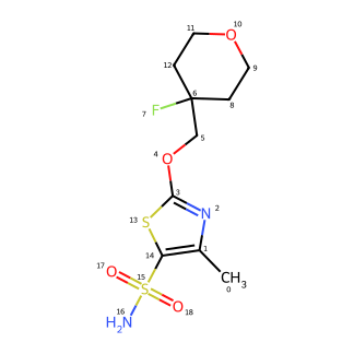 Cc1nc(OCC2(F)CCOCC2)sc1S(N)(=O)=O